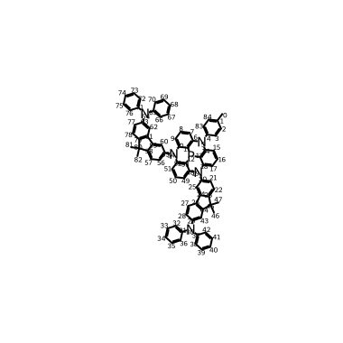 Cc1ccc(N2c3cccc4c3P3c5c2cccc5N(c2ccc5c(c2)-c2ccc(N(c6ccccc6)c6ccccc6)cc2C5(C)C)c2cccc(c23)N4c2ccc3c(c2)-c2cc(N(c4ccccc4)c4ccccc4)ccc2C3(C)C)cc1